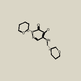 O=c1c(Cl)c(NC[C@H]2CCCOC2)cnn1[C@H]1CCCCO1